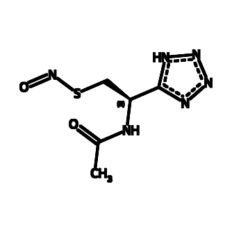 CC(=O)N[C@@H](CSN=O)c1nnn[nH]1